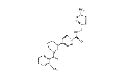 Nc1ccc(CNC(=O)c2ccc(N3CCCN(C(=O)c4ccccc4C(F)(F)F)C3)nn2)cc1